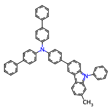 Cc1ccc2c3cc(-c4ccc(N(c5ccc(-c6ccccc6)cc5)c5ccc(-c6ccccc6)cc5)cc4)ccc3n(-c3ccccc3)c2c1